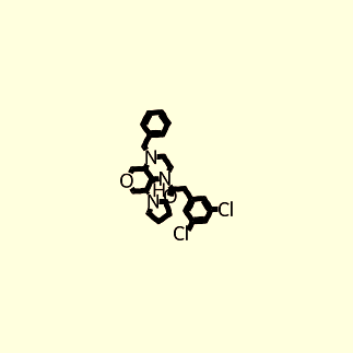 O=C(Cc1cc(Cl)cc(Cl)c1)N1CCN(Cc2ccccc2)C2COC[C@H](N3CCCC3)[C@H]21